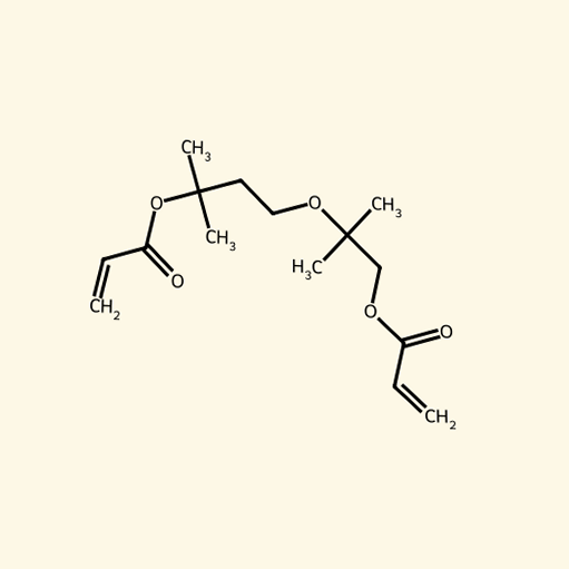 C=CC(=O)OCC(C)(C)OCCC(C)(C)OC(=O)C=C